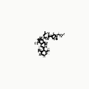 CSCn1cc(-c2nccc([C@]34CC[C@@H](c5cc(-c6c(F)cccc6F)nnc53)C4(C)C)n2)cn1